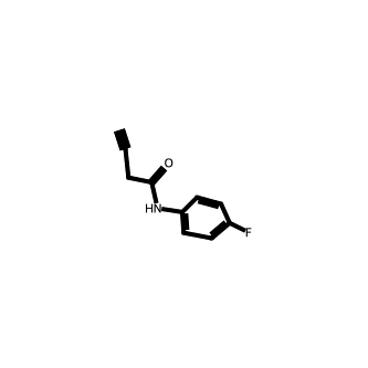 C#CCC(=O)Nc1ccc(F)cc1